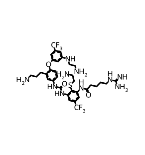 N=C(N)NCCCCC(=O)Nc1cc(C(F)(F)F)cc(NC(=O)Nc2ccc(Oc3cc(NCCN)cc(C(F)(F)F)c3)c(CCCN)c2)c1SCCN